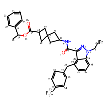 CC(C)Cn1nc(C(=O)NC2CC3(C2)CC(C(=O)OC(C)c2ccccc2)C3)c2c(Cc3ccc(C(F)(F)F)cc3)cccc21